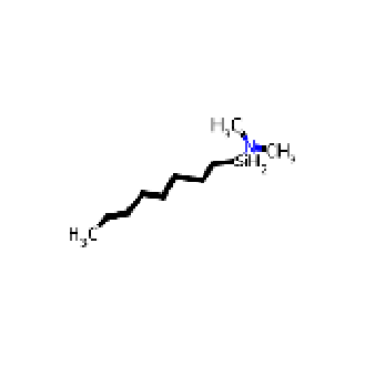 CCCCCCCC[SiH2]N(C)C